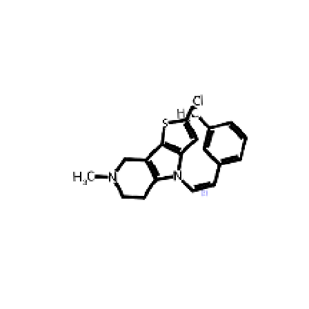 Cc1cccc(/C=C\n2c3c(c4sc(Cl)cc42)CN(C)CC3)c1